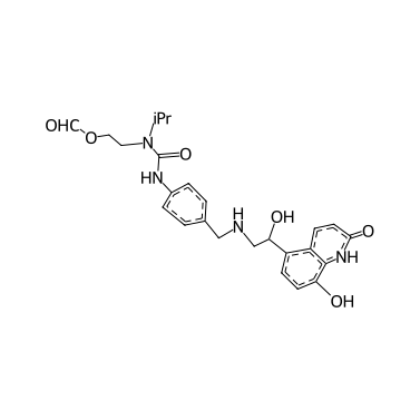 CC(C)N(CCOC=O)C(=O)Nc1ccc(CNCC(O)c2ccc(O)c3[nH]c(=O)ccc23)cc1